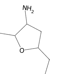 CCC1CC(N)C(C)O1